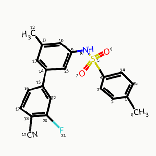 Cc1ccc(S(=O)(=O)Nc2cc(C)cc(-c3ccc(C#N)c(F)c3)c2)cc1